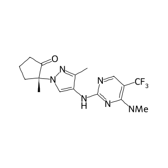 CNc1nc(Nc2cn([C@]3(C)CCCC3=O)nc2C)ncc1C(F)(F)F